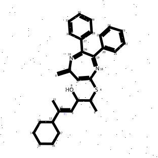 C=C1C=C(SC(C)C(O)/C=C(\C)C2CCCCC2)N=C(c2ccccc2)C(c2ccccc2)=N1